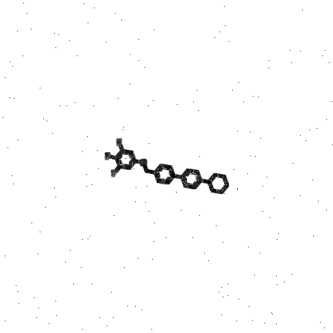 Fc1cc(OCc2ccc(-c3ccc(C4CCCCC4)cc3)cc2)cc(F)c1F